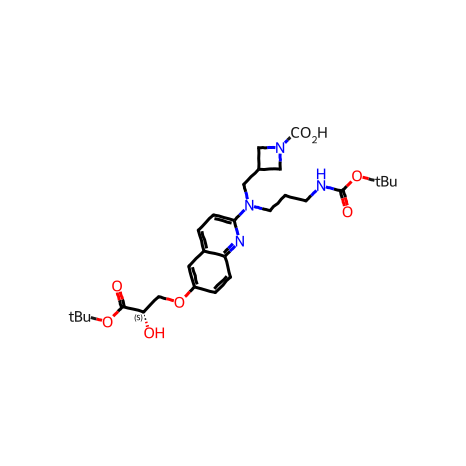 CC(C)(C)OC(=O)NCCCN(CC1CN(C(=O)O)C1)c1ccc2cc(OC[C@H](O)C(=O)OC(C)(C)C)ccc2n1